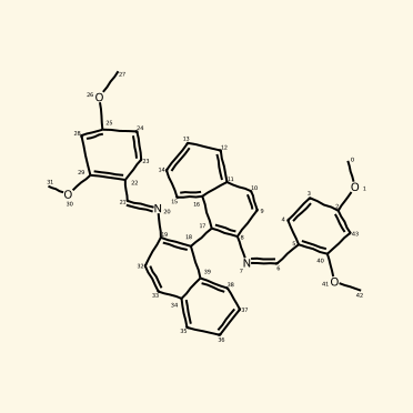 COc1ccc(/C=N\c2ccc3ccccc3c2-c2c(/N=C/c3ccc(OC)cc3OC)ccc3ccccc23)c(OC)c1